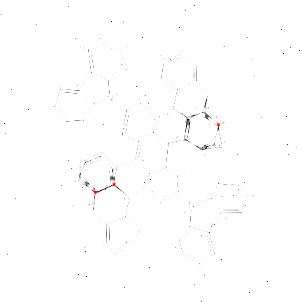 c1ccc2c(c1)C1c3ccccc3C2c2c(-c3c4ccc(-n5c6ccccc6c6ccccc65)cc4c(-c4cccc5c4C4c6ccccc6C5c5ccccc54)c4ccc(-n5c6ccccc6c6ccccc65)cc34)cccc21